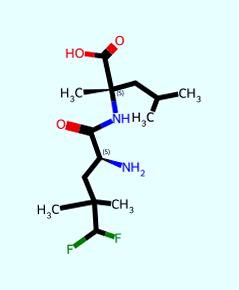 CC(C)C[C@](C)(NC(=O)[C@@H](N)CC(C)(C)C(F)F)C(=O)O